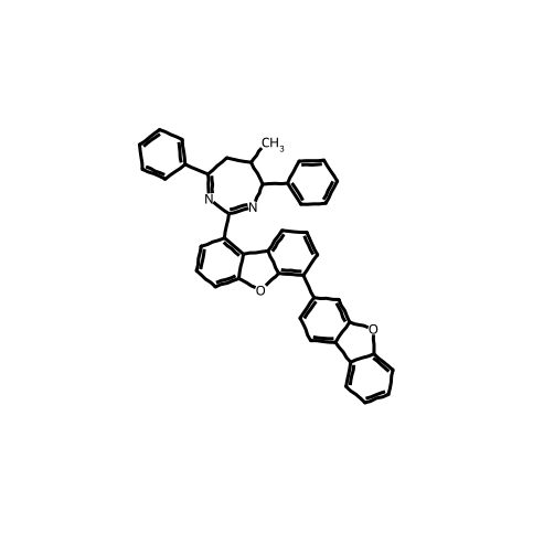 CC1CC(c2ccccc2)=NC(c2cccc3oc4c(-c5ccc6c(c5)oc5ccccc56)cccc4c23)=NC1c1ccccc1